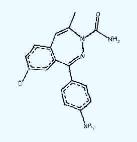 CC1=Cc2ccc(Cl)cc2C(c2ccc(N)cc2)=NN1C(N)=O